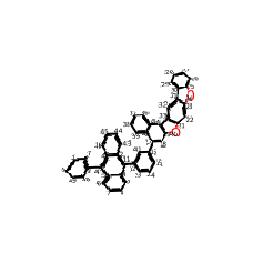 c1ccc(-c2c3ccccc3c(-c3cccc(-c4cc5oc6cc7oc8ccccc8c7cc6c5c5ccccc45)c3)c3ccccc23)cc1